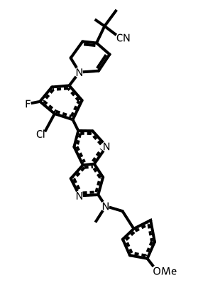 COc1ccc(CN(C)c2cc3ncc(-c4cc(N5C=CC(C(C)(C)C#N)=CC5)cc(F)c4Cl)cc3cn2)cc1